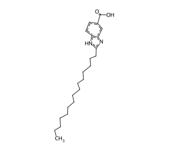 CCCCCCCCCCCCCCCc1nc2cc(C(=O)O)ccc2[nH]1